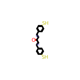 O=C(/C=C/c1ccc(S)cc1)/C=C/c1ccc(S)cc1